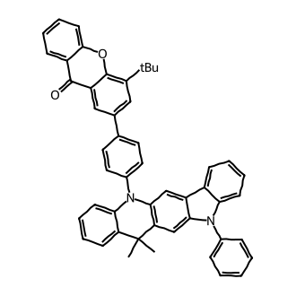 CC(C)(C)c1cc(-c2ccc(N3c4ccccc4C(C)(C)c4cc5c(cc43)c3ccccc3n5-c3ccccc3)cc2)cc2c(=O)c3ccccc3oc12